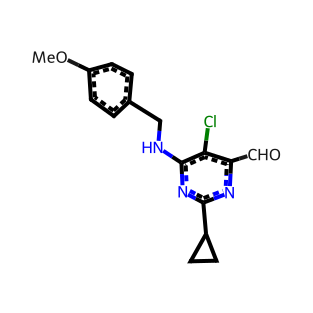 COc1ccc(CNc2nc(C3CC3)nc(C=O)c2Cl)cc1